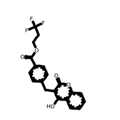 O=C(OCCC(F)(F)F)c1ccc(Cc2c(O)c3ccccc3oc2=O)cc1